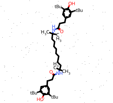 CC(C)(CCCCCCCCC(C)(C)NC(=O)CCc1cc(C(C)(C)C)c(O)c(C(C)(C)C)c1)NC(=O)CCc1cc(C(C)(C)C)c(O)c(C(C)(C)C)c1